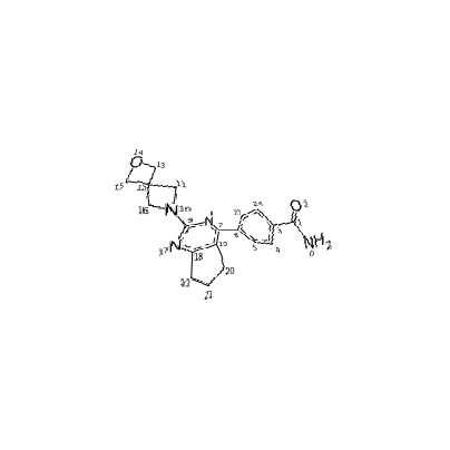 NC(=O)c1ccc(-c2nc(N3CC4(COC4)C3)nc3c2CCC3)cc1